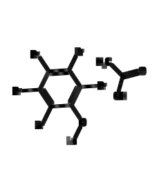 Brc1c(Br)c(Br)c([O][La])c(Br)c1Br.CC(=O)O